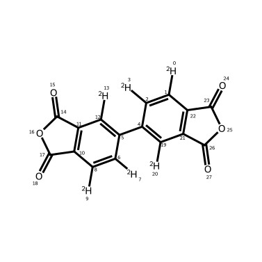 [2H]c1c([2H])c(-c2c([2H])c([2H])c3c(c2[2H])C(=O)OC3=O)c([2H])c2c1C(=O)OC2=O